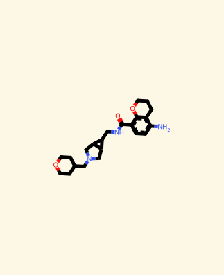 Nc1ccc(C(=O)NCC2C3CN(CC4CCOCC4)CC23)c2c1CCCO2